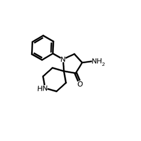 NC1CN(c2ccccc2)C2(CCNCC2)C1=O